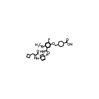 COc1cc(F)c(OCC2CCC(C(=O)O)CC2)cc1C(=O)N[C@H]1[C@@H](C(=O)NCC2CCC2)[C@@H]2C=C[C@H]1C2